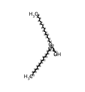 CCCCCCCCCCCCCCCCCCOC[C@H](CCCO)OCCCCCCCCCCCCCCCCCC